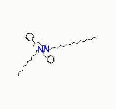 CCCCCCCCCCCCCCCn1cc(CC(C)c2ccccc2)[n+](CCCCCCCCCC)c1Cc1ccccc1